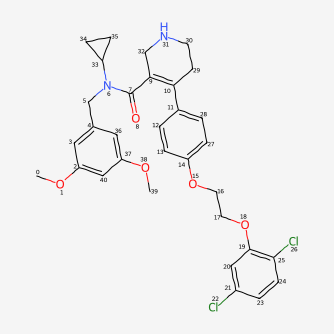 COc1cc(CN(C(=O)C2=C(c3ccc(OCCOc4cc(Cl)ccc4Cl)cc3)CCNC2)C2CC2)cc(OC)c1